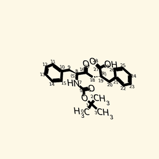 CC(C)(C)OC(=O)N[C@@H](Cc1ccccc1)C(=O)C[C@@H](Cc1ccccc1)C(=O)O